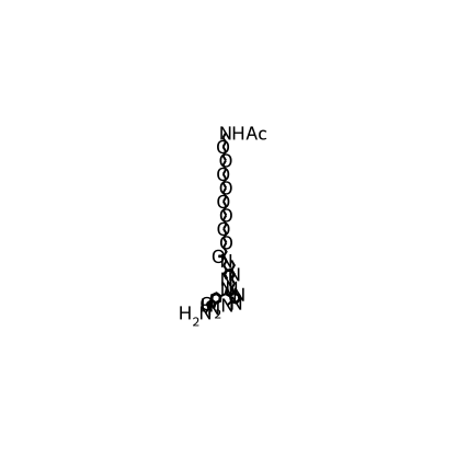 CC(=O)NCCOCCOCCOCCOCCOCCOCCOCCOCCC(=O)N1CCc2nc(Cn3nc(-c4ccc5oc(N)nc5c4)c4c(N)ncnc43)ncc2C1